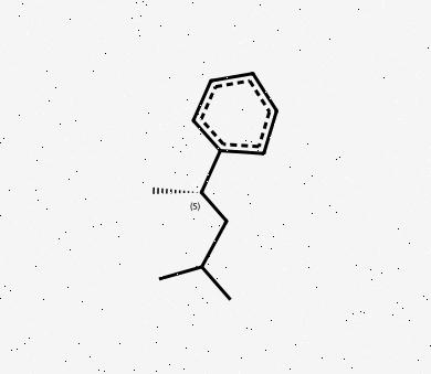 C[C](C)C[C@H](C)c1ccccc1